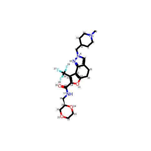 CN1CCC(Cn2cc3c(n2)-c2c(oc(C(=O)NC[C@@H]4COCCO4)c2C(F)(F)F)CC3)CC1